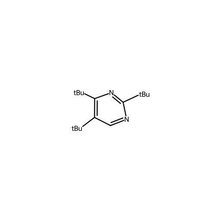 CC(C)(C)c1ncc(C(C)(C)C)c(C(C)(C)C)n1